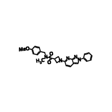 COc1ccc(CN(C)S(=O)(=O)C2CN(c3ccc4cn(-c5ccccc5)nc4n3)C2)cc1